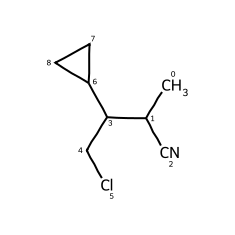 CC(C#N)C(CCl)C1CC1